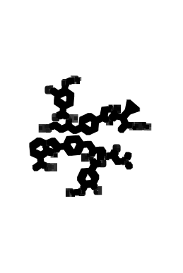 CC(=O)NC(C)C(c1nc(-c2ccc(CC(CCO)NC(=O)c3ccc(OC(C)C)c(Cl)c3)cc2)c[nH]1)C1CC1.CC(C)Oc1ccc(C(=O)NC(CNC(=O)CN(C)C)Cc2ccc(-c3cn4cccc(C(C)O)c4n3)cc2)cc1Cl